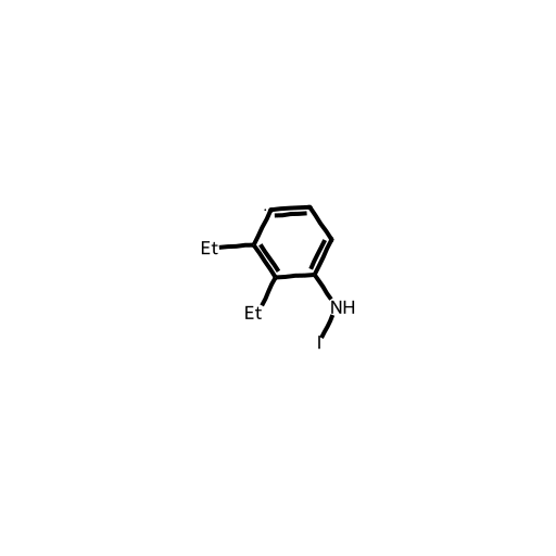 CCc1[c]ccc(NI)c1CC